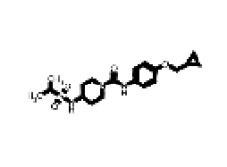 CC(C)S(=O)(=O)NC1CCN(C(=O)Nc2ccc(OCC3CC3)cc2)CC1